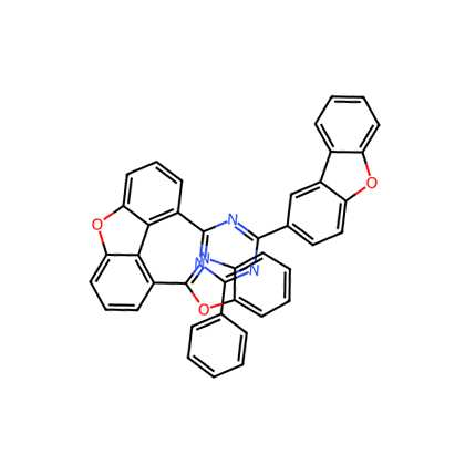 c1ccc(-c2nc(-c3ccc4oc5ccccc5c4c3)nc(-c3cccc4oc5cccc(-c6nc7ccccc7o6)c5c34)n2)cc1